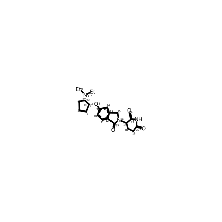 CCN(CC)[C@H]1CCC[C@H]1Oc1ccc2c(c1)CN(C1CCC(=O)NC1=O)C2=O